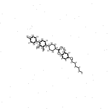 CCCCCCOc1ccc(OC(=O)C2CCC(c3ccc(-c4ccc(C)cc4)c(F)c3F)CC2)c(F)c1